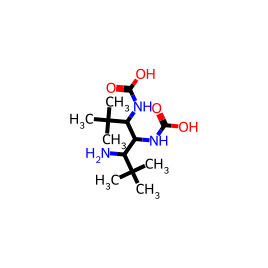 CC(C)(C)C(N)C(NC(=O)O)C(NC(=O)O)C(C)(C)C